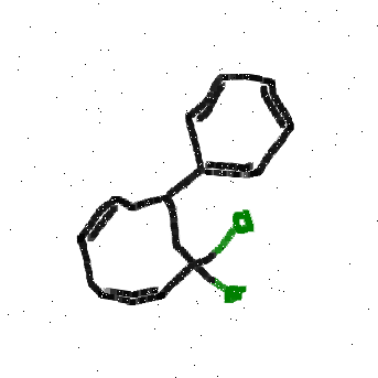 ClC1(Br)C=CC=CC1c1ccccc1